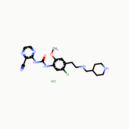 COc1cc(CCNCC2CCNCC2)c(Cl)cc1NC(=O)Nc1nccnc1C#N.Cl